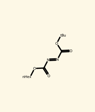 CCCCCCOC(=O)N=NC(=O)OC(C)(C)C